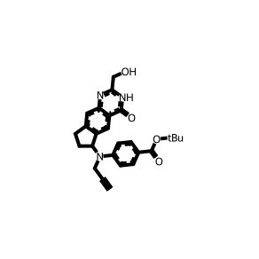 C#CCN(c1ccc(C(=O)OC(C)(C)C)cc1)C1CCc2cc3nc(CO)[nH]c(=O)c3cc21